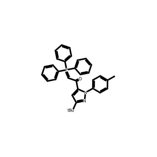 Cc1ccc(-n2nc(C(C)(C)C)cc2C(=O)C=P(c2ccccc2)(c2ccccc2)c2ccccc2)cc1